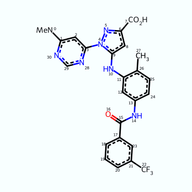 CNc1cc(-n2nc(C(=O)O)cc2Nc2cc(NC(=O)c3cccc(C(F)(F)F)c3)ccc2C)ncn1